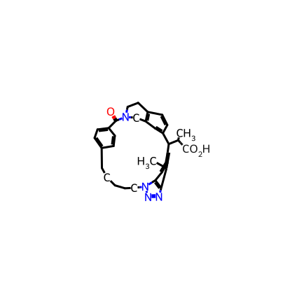 Cc1c2ccc3c1nnn3CCCCCc1ccc(cc1)C(=O)N1CCc3ccc(cc3C1)C2C(C)C(=O)O